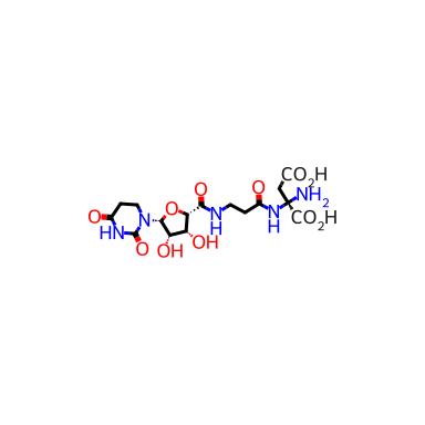 N[C@@](CC(=O)O)(NC(=O)CCNC(=O)[C@H]1O[C@@H](N2CCC(=O)NC2=O)[C@@H](O)[C@H]1O)C(=O)O